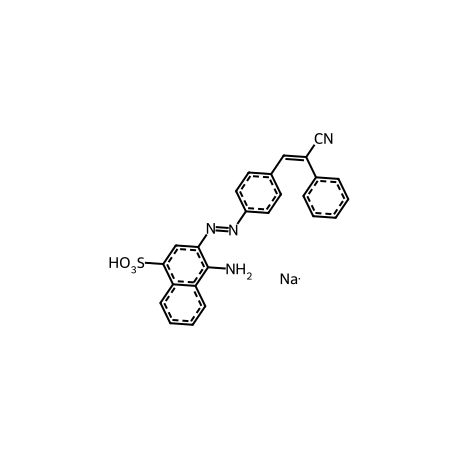 N#CC(=Cc1ccc(N=Nc2cc(S(=O)(=O)O)c3ccccc3c2N)cc1)c1ccccc1.[Na]